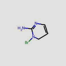 NC1=NC=CCN1Br